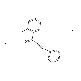 Cc1ccccc1C(=O)C#Cc1ccccc1